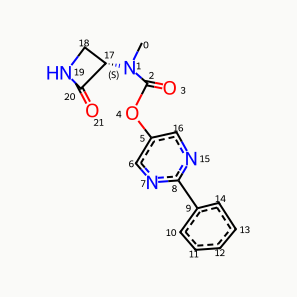 CN(C(=O)Oc1cnc(-c2ccccc2)nc1)[C@H]1CNC1=O